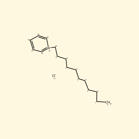 CCCCCCCCCCC[n+]1ccccc1.[Cl-]